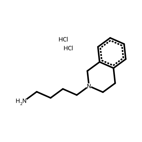 Cl.Cl.NCCCCN1CCc2ccccc2C1